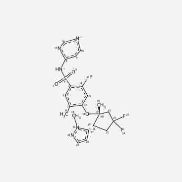 Cc1cc(S(=O)(=O)Nc2ccncn2)c(F)cc1O[C@]1(C)CC(F)(F)C[C@@H]1c1ccnn1C